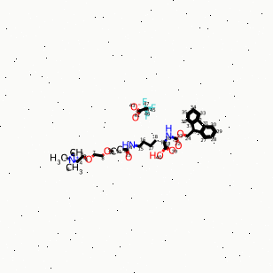 C[N+](C)(C)CCOCCOCCC(=O)NCCCC[C@H](NC(=O)OCC1c2ccccc2-c2ccccc21)C(=O)O.O=C([O-])C(F)(F)F